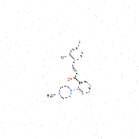 CN1CCN(c2ccccc2C(=O)C=Cc2ccc(Cl)cc2Cl)CC1